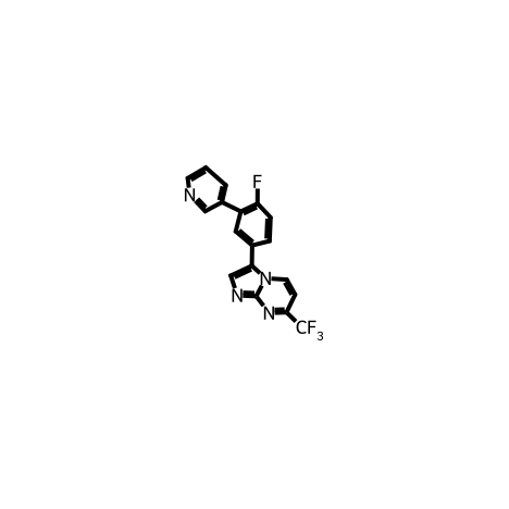 Fc1ccc(-c2cnc3nc(C(F)(F)F)ccn23)cc1-c1cccnc1